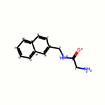 NCC(=O)NCc1ccc2ccccc2c1